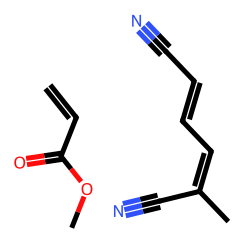 C=CC(=O)OC.CC(C#N)=CC=CC#N